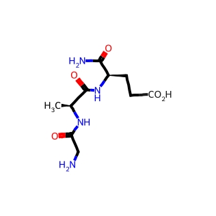 C[C@H](NC(=O)CN)C(=O)N[C@H](CCC(=O)O)C(N)=O